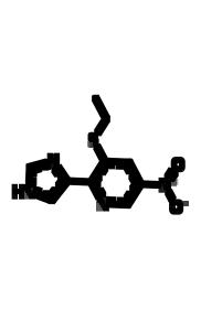 CCSc1cc([N+](=O)[O-])cnc1-c1c[nH]cn1